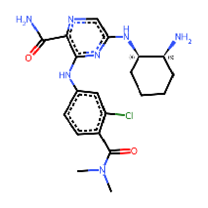 CN(C)C(=O)c1ccc(Nc2nc(N[C@@H]3CCCC[C@@H]3N)cnc2C(N)=O)cc1Cl